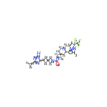 Cn1nc(C(F)(F)F)cc1CN1CCC2(CC1)CN(C(=O)N1CC3(CC(c4nc(C5CC5)n[nH]4)C3)C1)C2